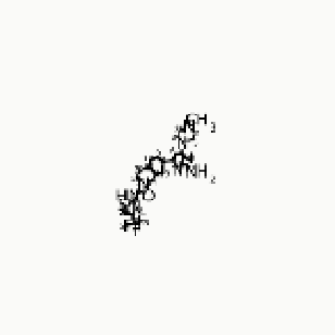 CN1CCN(c2cc(-c3ccc4c(c3)CN(C(=O)Nc3nc(C(F)(F)F)cs3)CC4)nc(N)n2)CC1